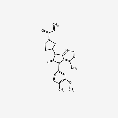 C=CC(=O)N1CCC(n2c(=O)n(-c3ccc(C)c(OC)c3)c3c(N)ncnc32)C1